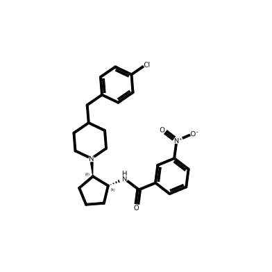 O=C(N[C@@H]1CCC[C@H]1N1CCC(Cc2ccc(Cl)cc2)CC1)c1cccc([N+](=O)[O-])c1